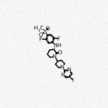 CS(=O)(=O)c1cc(F)c(N[C@H]2CCCN(C3CCN(c4ncc(I)cn4)CC3)C2=O)cc1F